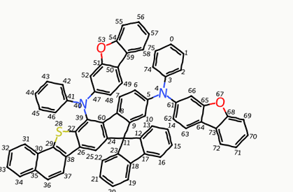 c1ccc(N(c2ccc3c(c2)C2(c4ccccc4-c4ccccc42)c2cc4c(sc5c6ccccc6ccc45)c(N(c4ccccc4)c4ccc5c(c4)oc4ccccc45)c2-3)c2ccc3c(c2)oc2ccccc23)cc1